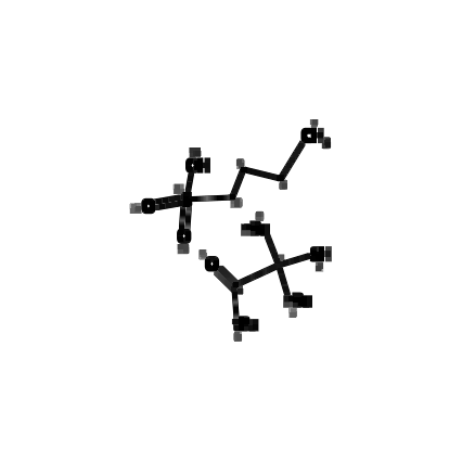 CCCCC(S)(CCCC)C(=O)C(C)(C)C.CCCCS(=O)(=O)O